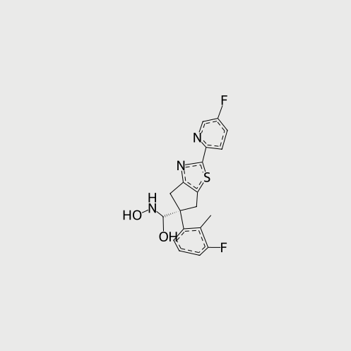 Cc1c(F)cccc1[C@@]1(C(O)NO)Cc2nc(-c3ccc(F)cn3)sc2C1